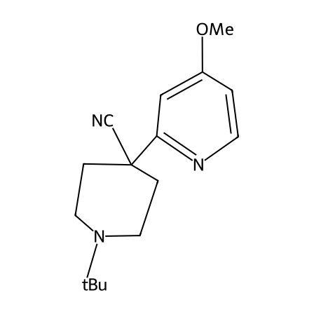 COc1ccnc(C2(C#N)CCN(C(C)(C)C)CC2)c1